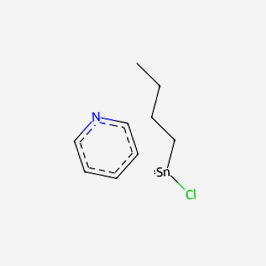 CCC[CH2][Sn][Cl].c1ccncc1